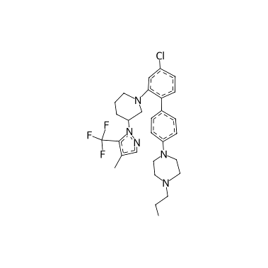 CCCN1CCN(c2ccc(-c3ccc(Cl)cc3N3CCCC(n4ncc(C)c4C(F)(F)F)C3)cc2)CC1